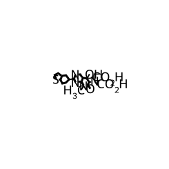 Cn1c(=O)c(N(CC(=O)O)C(=O)O)c(O)c2cnc(-c3ccc4sccc4c3)nc21